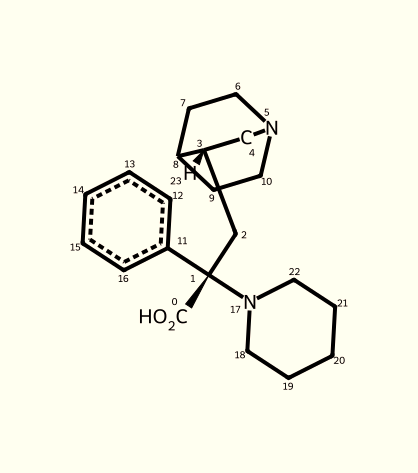 O=C(O)[C@](C[C@H]1CN2CCC1CC2)(c1ccccc1)N1CCCCC1